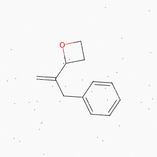 C=C(Cc1ccccc1)[C]1CCO1